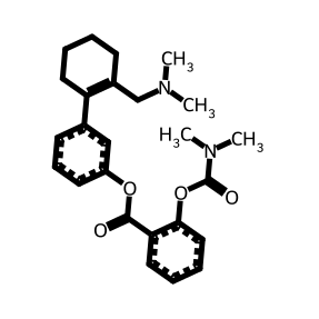 CN(C)CC1=C(c2cccc(OC(=O)c3ccccc3OC(=O)N(C)C)c2)CCCC1